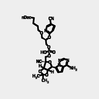 CCCCCCCCCCCCCCOC[C@H](COP(=O)(O)OC[C@@]1(C#N)O[C@@H](c2ccc3c(N)ncnn23)[C@@H]2OC(C)(C)O[C@@H]21)Oc1ccc(C#N)cn1